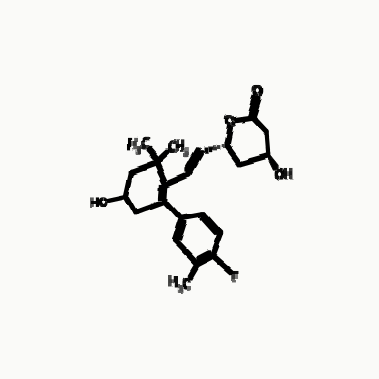 Cc1cc(C2=C(C=C[C@H]3C[C@H](O)CC(=O)O3)C(C)(C)CC(O)C2)ccc1F